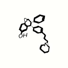 Oc1ccc2c(c1)[C@@H](c1ccc(CCCN3CCCCC3)cc1)[C@@H](c1ccccc1)CO2